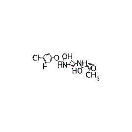 Cc1occc1C(O)NC12CC(NC(O)COc3ccc(Cl)c(F)c3)(C1)C2